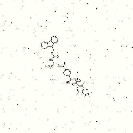 Cc1c(C)c(S(=O)(=O)NC(=N)c2ccc(C(=O)NC[C@H](NC(=O)OCC3c4ccccc4-c4ccccc43)C(=O)O)cc2)c(C)c2c1OC(C)(C)C2